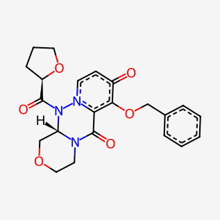 O=C1c2c(OCc3ccccc3)c(=O)ccn2N(C(=O)[C@H]2CCCO2)[C@H]2COCCN12